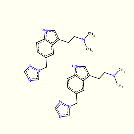 CN(C)CCc1c[nH]c2ccc(Cn3cncn3)cc12.CN(C)CCc1c[nH]c2ccc(Cn3cncn3)cc12